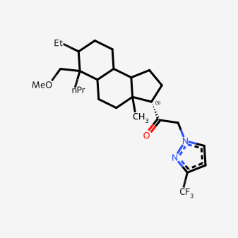 CCCC1(COC)C(CC)CCC2C1CCC1(C)C2CC[C@@H]1C(=O)Cn1ccc(C(F)(F)F)n1